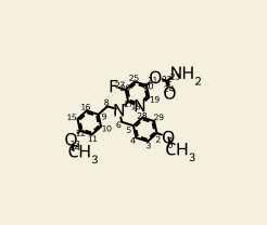 COc1ccc(CN(Cc2ccc(OC)cc2)c2ncc(OC(N)=O)cc2F)cc1